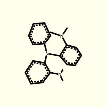 CN(C)c1ccccc1N(c1ccccc1)c1ccccc1N(C)C